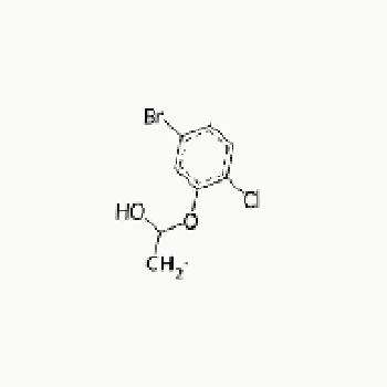 [CH2]C(O)Oc1cc(Br)ccc1Cl